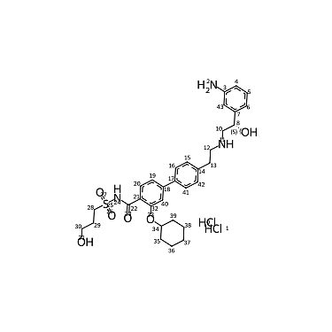 Cl.Cl.Nc1cccc([C@H](O)CNCCc2ccc(-c3ccc(C(=O)NS(=O)(=O)CCCO)c(OC4CCCCC4)c3)cc2)c1